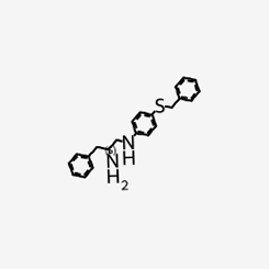 N[C@H](CNc1ccc(SCc2ccccc2)cc1)Cc1ccccc1